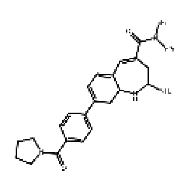 CCCN(CCC)C(=O)C1=CC2=CC=C(c3ccc(C(=O)N4CCCC4)cc3)CC2NC(N)C1